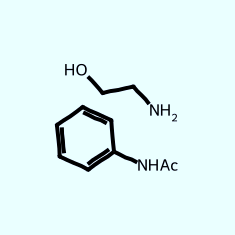 CC(=O)Nc1ccccc1.NCCO